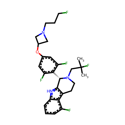 CC(C)(F)CN1CCc2c([nH]c3cccc(F)c23)[C@@H]1c1c(F)cc(OC2CN(CCCF)C2)cc1F